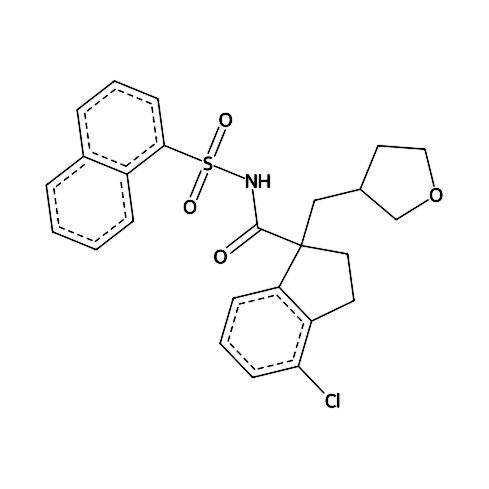 O=C(NS(=O)(=O)c1cccc2ccccc12)C1(CC2CCOC2)CCc2c(Cl)cccc21